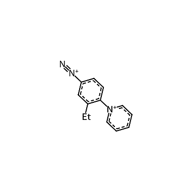 CCc1cc([N+]#N)ccc1-[n+]1ccccc1